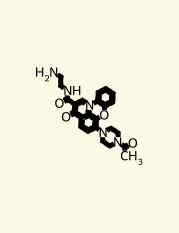 CC(=O)N1CCN(c2ccc3c(=O)c(C(=O)NCCN)cn4c3c2Oc2ccccc2-4)CC1